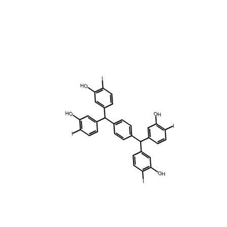 Oc1cc(C(c2ccc(C(c3ccc(I)c(O)c3)c3ccc(I)c(O)c3)cc2)c2ccc(I)c(O)c2)ccc1I